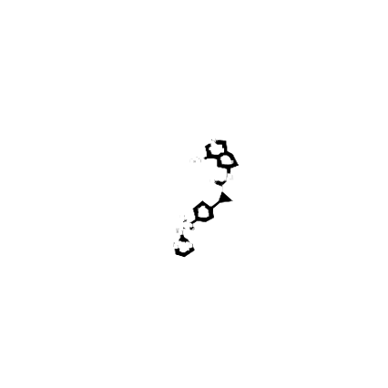 CCCc1cncc2ccc(NC(=O)[C@@H]3CC3c3ccc(S(=O)(=O)Nc4ncccn4)cc3)cc12